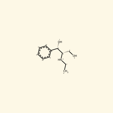 CCN[C@@H](CO)[C@@H](O)c1ccccc1